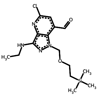 CCNc1nn(COCC[Si](C)(C)C)c2c(C=O)cc(Cl)nc12